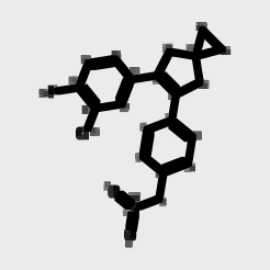 O=[SH](=O)Cc1ccc(C2=C(c3ccc(F)c(Cl)c3)CC3(CC3)C2)cc1